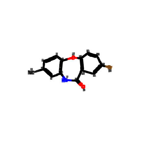 N#Cc1ccc2c(c1)NC(=O)c1cc(Br)ccc1O2